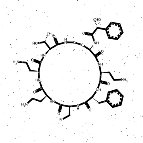 CC(C)C[C@@H]1NC(=O)[C@@H](Cc2ccccc2)NC(=O)[C@H](CCN)NC(=O)[C@@H](NC(=O)[C@H](C=O)c2ccccc2)CCNC(=O)[C@H]([C@@H](C)O)NC(=O)[C@H](CCN)NC(=O)[C@H](CCN)NC1=O